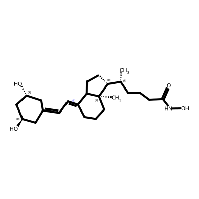 C[C@H](CCCC(=O)NO)[C@H]1CCC2/C(=C/C=C3C[C@@H](O)C[C@H](O)C3)CCC[C@@]21C